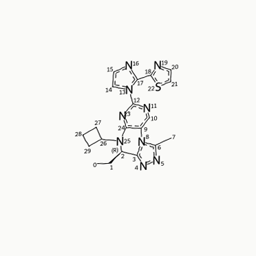 CC[C@@H]1c2nnc(C)n2-c2cnc(-n3ccnc3-c3nccs3)nc2N1C1CCC1